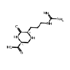 N=C(N)NCCC[C@H]1NC[C@@H](C(=O)O)NC1=O